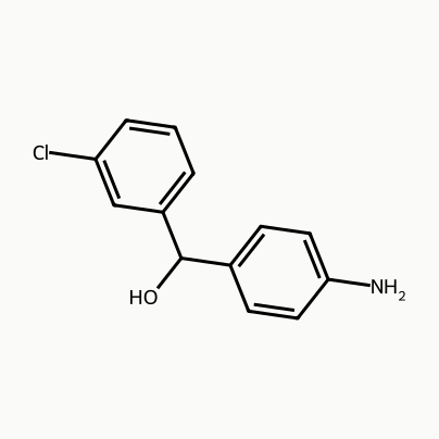 Nc1ccc(C(O)c2cccc(Cl)c2)cc1